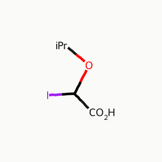 CC(C)OC(I)C(=O)O